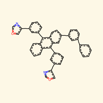 c1ccc(-c2cccc(-c3ccc4c(-c5cccc(-c6cocn6)c5)c5ccccc5c(-c5cccc(-c6cocn6)c5)c4c3)c2)cc1